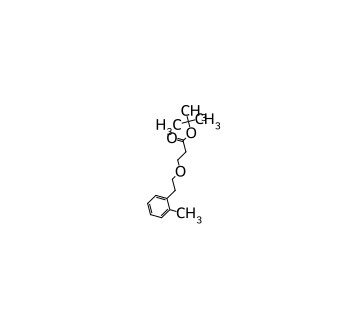 Cc1ccccc1CCOCCC(=O)OC(C)(C)C